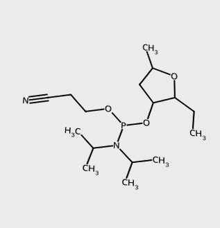 CCC1OC(C)CC1OP(OCCC#N)N(C(C)C)C(C)C